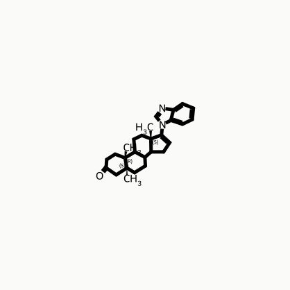 C[C@@]12CCC3C4CC=C(n5cnc6ccccc65)[C@@]4(C)CCC3[C@@]1(C)CCC(=O)C2